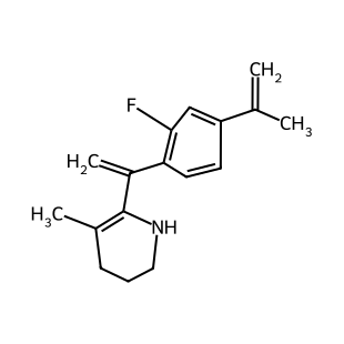 C=C(C)c1ccc(C(=C)C2=C(C)CCCN2)c(F)c1